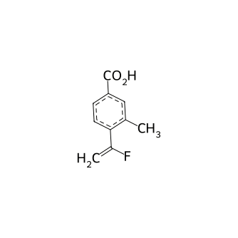 C=C(F)c1ccc(C(=O)O)cc1C